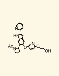 CC(=O)N1CCC[C@@H]1C1C=c2[nH]c(-c3ccccn3)cc2=CC1Oc1ccc(OCCO)nc1